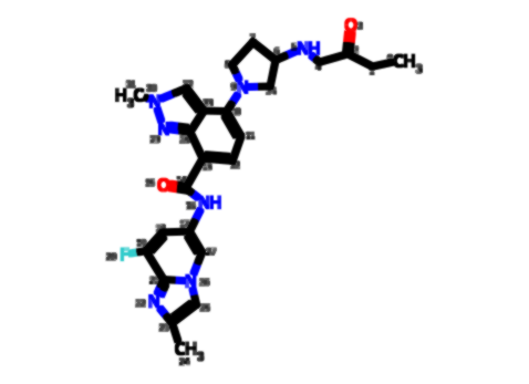 CCC(=O)CNC1CCN(c2ccc(C(=O)Nc3cc(F)c4nc(C)cn4c3)c3nn(C)cc23)C1